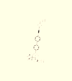 CC(CCc1ccc(-c2ccc(C#CC3CC(O)C3)cc2)cc1)(C(=O)NO)S(C)(=O)=O